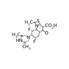 C=c1sc2c(C(=O)O)c(=O)c3cc(F)c(N4C[C@@H](C)N[C@@H](C)C4)c(F)c3n12